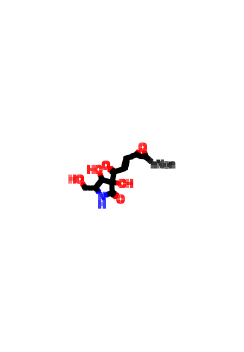 CCCCCCCCCC1OC1/C=C/C(=O)C1(O)C(=O)NC(CO)C1O